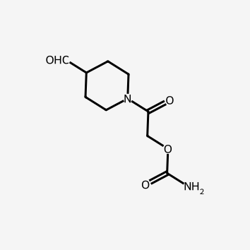 NC(=O)OCC(=O)N1CCC(C=O)CC1